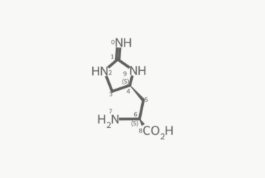 N=C1NC[C@H](C[C@H](N)C(=O)O)N1